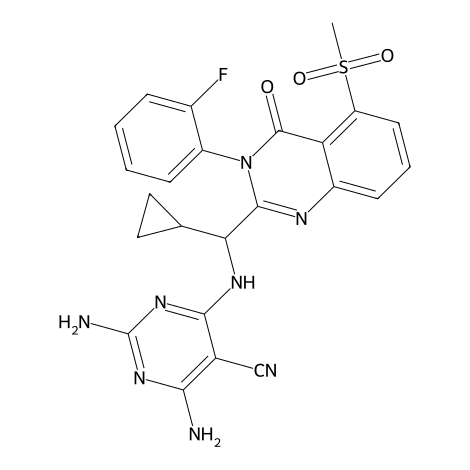 CS(=O)(=O)c1cccc2nc(C(Nc3nc(N)nc(N)c3C#N)C3CC3)n(-c3ccccc3F)c(=O)c12